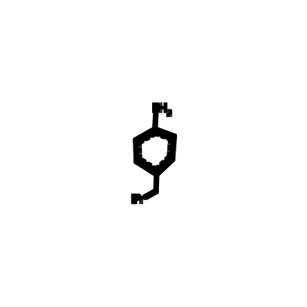 Bc1ccc(CC(C)C)cc1